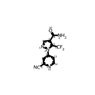 N#Cc1cc(-n2ncc(C(N)=O)c2C(F)(F)F)ccn1